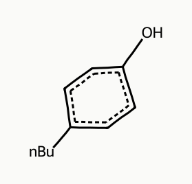 CC[CH]Cc1ccc(O)cc1